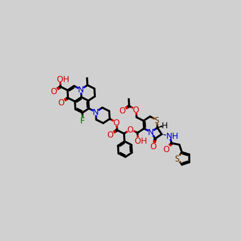 CC(=O)OCC1=C(C(O)OC(C(=O)OC2CCN(c3c(F)cc4c(=O)c(C(=O)O)cn5c4c3CCC5C)CC2)c2ccccc2)N2C(=O)[C@@H](NC(=O)Cc3cccs3)[C@H]2SC1